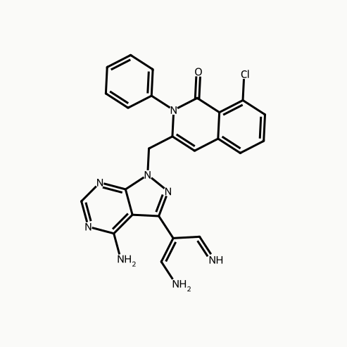 N=C/C(=C\N)c1nn(Cc2cc3cccc(Cl)c3c(=O)n2-c2ccccc2)c2ncnc(N)c12